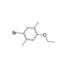 CCOc1cc(C)c(Br)cc1C